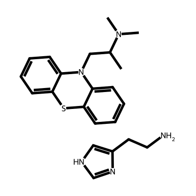 CC(CN1c2ccccc2Sc2ccccc21)N(C)C.NCCc1c[nH]cn1